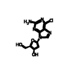 Nc1nc(Cl)c2ncn([C@H]3C[C@@H](O)[C@@H](CO)O3)c2n1